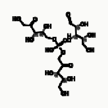 O=C(COP(=O)(O)OC[C@@H](O)[C@H](O)C(=O)CO)[C@@H](O)[C@H](O)CO.O=C[C@H](O)[C@@H](O)[C@H](O)CO